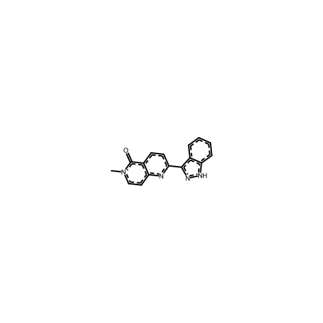 Cn1ccc2nc(-c3n[nH]c4ccccc34)ccc2c1=O